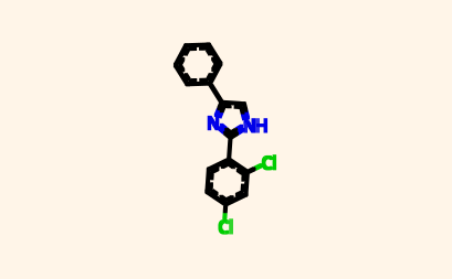 Clc1ccc(-c2nc(-c3ccccc3)c[nH]2)c(Cl)c1